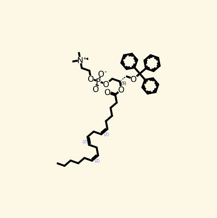 CCCCC/C=C\C/C=C\C/C=C\CCCCC(=O)O[C@@H](COC(c1ccccc1)(c1ccccc1)c1ccccc1)COP(=O)([O-])OCC[N+](C)(C)C